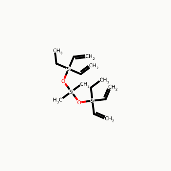 C=C[Si](C=C)(CC)O[Si](C)(C)O[Si](C=C)(C=C)CC